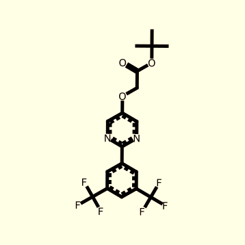 CC(C)(C)OC(=O)COc1cnc(-c2cc(C(F)(F)F)cc(C(F)(F)F)c2)nc1